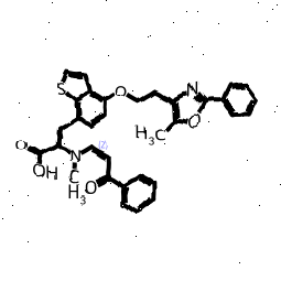 Cc1oc(-c2ccccc2)nc1CCOc1ccc(CC(C(=O)O)N(C)/C=C\C(=O)c2ccccc2)c2sccc12